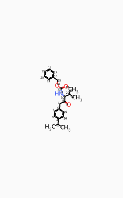 CC(C)c1ccc(CC(=O)C(NC(=O)OCc2ccccc2)C(C)C)cc1